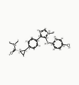 CN(C)C(=O)[C@H]1CC1c1ccc(-c2ncn(C)c2Sc2ccc(Cl)cn2)cc1